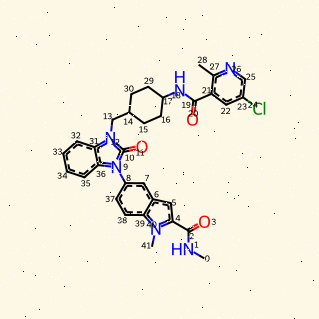 CNC(=O)c1cc2cc(-n3c(=O)n(CC4CCC(NC(=O)c5cc(Cl)cnc5C)CC4)c4ccccc43)ccc2n1C